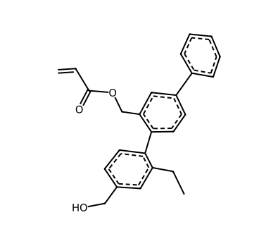 C=CC(=O)OCc1cc(-c2ccccc2)ccc1-c1ccc(CO)cc1CC